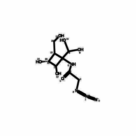 [N-]=[N+]=NCC(=O)NC1(C(O)O)C(O)[C@H](O)C1CO